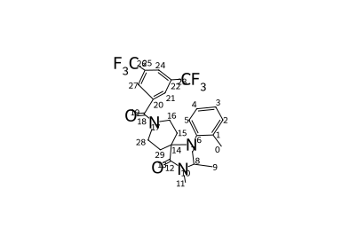 Cc1ccccc1N1C(C)N(C)C(=O)C12CCN(C(=O)c1cc(C(F)(F)F)cc(C(F)(F)F)c1)CC2